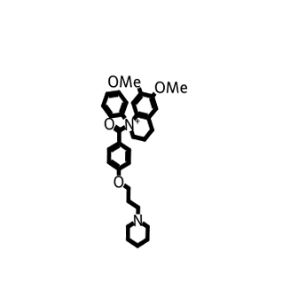 COc1cc2c(cc1OC)[N+](C(=O)c1ccc(OCCCN3CCCCC3)cc1)(c1ccccc1)CCC2